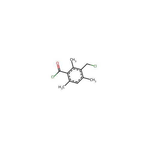 Cc1cc(C)c(C(=O)Cl)c(C)c1CCl